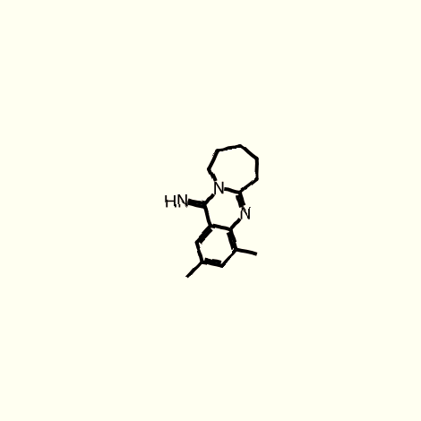 Cc1cc(C)c2nc3n(c(=N)c2c1)CCCCC3